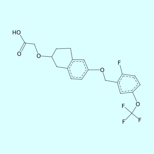 O=C(O)COC1CCc2cc(OCc3cc(OC(F)(F)F)ccc3F)ccc2C1